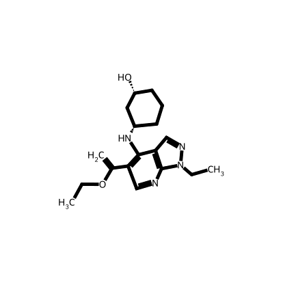 C=C(OCC)c1cnc2c(cnn2CC)c1N[C@H]1CCC[C@@H](O)C1